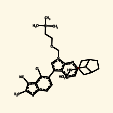 Cn1nc2ccc(-c3cn(COCC[Si](C)(C)C)c4nc(N5C6CCC5CC(NC(=O)O)C6)cnc34)c(Cl)c2c1C#N